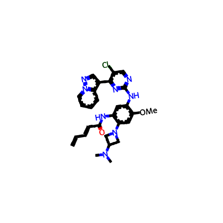 C=C/C=C/C(=O)Nc1cc(Nc2ncc(Cl)c(-c3cnn4ccccc34)n2)c(OC)cc1N1CC(N(C)C)C1